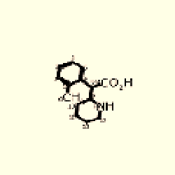 Cc1ccccc1C(C(=O)O)C1CCCCN1